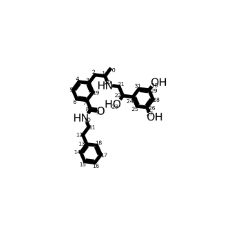 CC(Cc1cccc(C(=O)NCCc2ccccc2)c1)NCC(O)c1cc(O)cc(O)c1